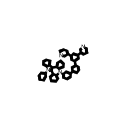 c1ccc(-n2c3c(c4ccccc42)-c2ccccc2N(c2cccc(-c4cccc(-c5cc(-c6cccnc6)cc(-c6cccnc6)c5)c4)c2)c2ccccc2-3)cc1